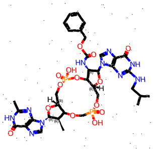 Cc1nc2c(ncn2[C@@H]2O[C@@H]3COP(=O)(O)OC4[C@@H](NC(=O)OCc5ccccc5)C(n5cnc6c(=O)[nH]c(NCC(C)C)nc65)O[C@@H]4COP(=O)(O)COC3[C@H]2C)c(=O)[nH]1